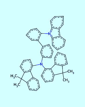 CC1(C)c2ccccc2-c2c(N(c3cccc(-c4ccccc4-n4c5ccccc5c5ccccc54)c3)c3cccc4c3-c3ccccc3C4(C)C)cccc21